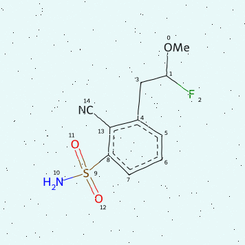 COC(F)Cc1cccc(S(N)(=O)=O)c1C#N